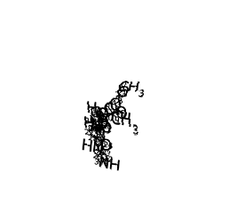 COCCOC(=O)C(C)(C)COS(=O)(=O)ON1C(=O)N2C[C@H]1CC[C@H]2C(=O)NC1CCNCC1